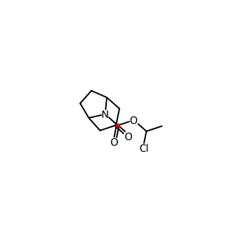 CC(Cl)OC(=O)N1C2CCC1CC(=O)C2